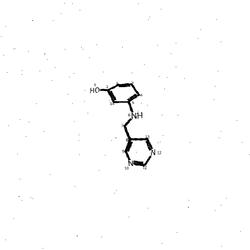 Oc1cccc(NCc2cncnc2)c1